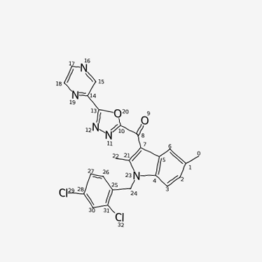 Cc1ccc2c(c1)c(C(=O)c1nnc(-c3cnccn3)o1)c(C)n2Cc1ccc(Cl)cc1Cl